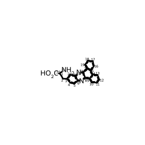 NC(Cc1ccc2nc3c4ccccc4c4ccccc4c3nc2c1)C(=O)O